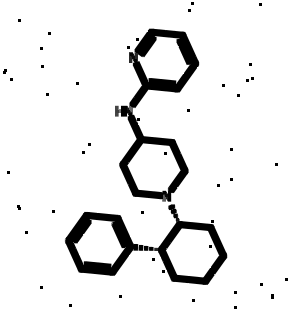 c1ccc([C@H]2CCCC[C@H]2N2CCC(Nc3ccccn3)CC2)cc1